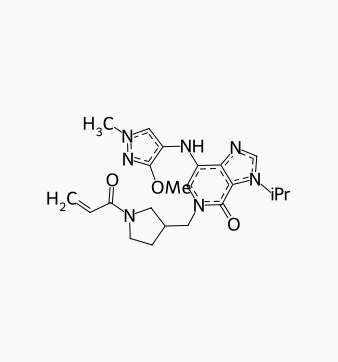 C=CC(=O)N1CCC(Cn2cc(Nc3cn(C)nc3OC)c3ncn(C(C)C)c3c2=O)C1